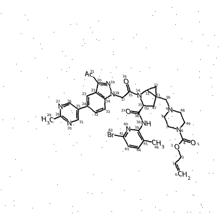 C=CCOC(=O)N1CCN(CC23CC2N(C(=O)Cn2nc(C(C)=O)c4cc(-c5cnc(C)nc5)ccc42)[C@H](C(=O)Nc2nc(Br)ccc2C)C3)CC1